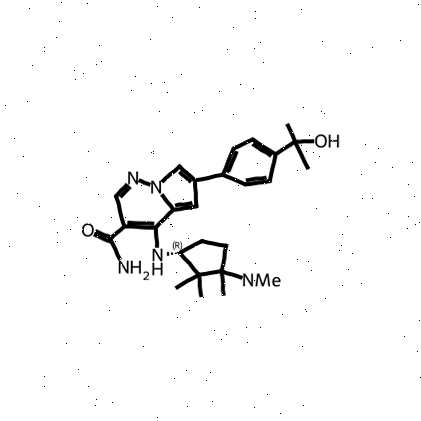 CNC1(C)CC[C@@H](Nc2c(C(N)=O)cnn3cc(-c4ccc(C(C)(C)O)cc4)cc23)C1(C)C